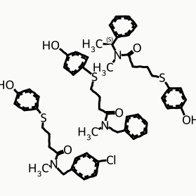 CN(Cc1ccc(Cl)cc1)C(=O)CCCSc1ccc(O)cc1.CN(Cc1ccccc1)C(=O)CCCSc1ccc(O)cc1.C[C@@H](c1ccccc1)N(C)C(=O)CCCSc1ccc(O)cc1